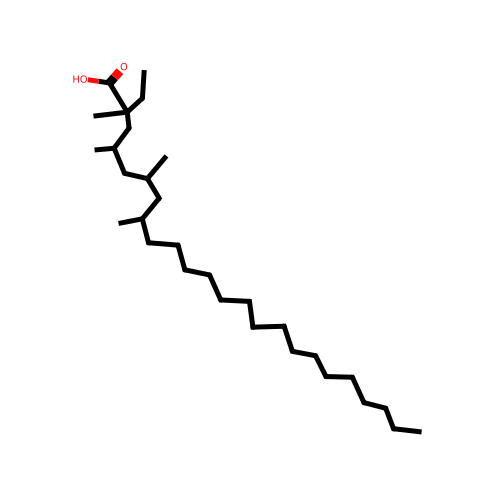 CCCCCCCCCCCCCCCCC(C)CC(C)CC(C)CC(C)(CC)C(=O)O